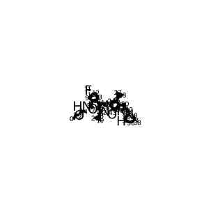 CCOCCNC(=O)c1cc(F)ccc1-c1cc(C2CC2)nc(-n2cc(C3CC3)c3cc(CN4CCC[C@H](C)C4)[nH]c3c2=O)c1